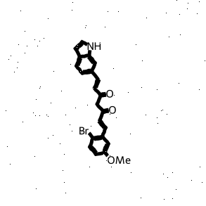 COc1ccc(Br)c(/C=C/C(=O)CC(=O)/C=C/c2ccc3cc[nH]c3c2)c1